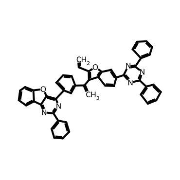 C=Cc1oc2cc(-c3nc(-c4ccccc4)nc(-c4ccccc4)n3)ccc2c1C(=C)c1cccc(-c2nc(-c3ccccc3)nc3c2oc2ccccc23)c1